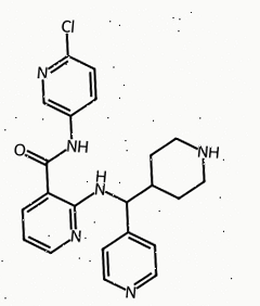 O=C(Nc1ccc(Cl)nc1)c1cccnc1NC(c1ccncc1)C1CCNCC1